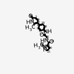 Cc1[nH]c(=O)ccc1-c1ccc(NC(=O)CNC(=O)c2ccnn2C)cc1